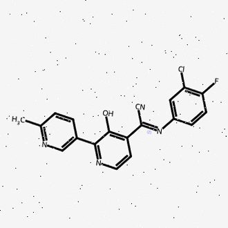 Cc1ccc(-c2nccc(/C(C#N)=N/c3ccc(F)c(Cl)c3)c2O)cn1